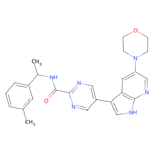 Cc1cccc(C(C)NC(=O)c2ncc(-c3c[nH]c4ncc(N5CCOCC5)cc34)cn2)c1